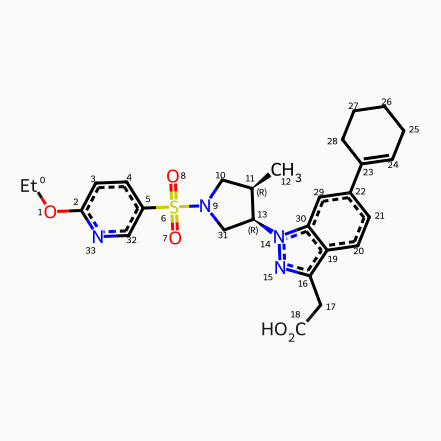 CCOc1ccc(S(=O)(=O)N2C[C@@H](C)[C@@H](n3nc(CC(=O)O)c4ccc(C5=CCCCC5)cc43)C2)cn1